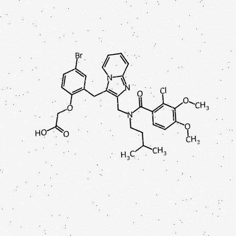 COc1ccc(C(=O)N(CCC(C)C)Cc2nc3ccccn3c2Cc2cc(Br)ccc2OCC(=O)O)c(Cl)c1OC